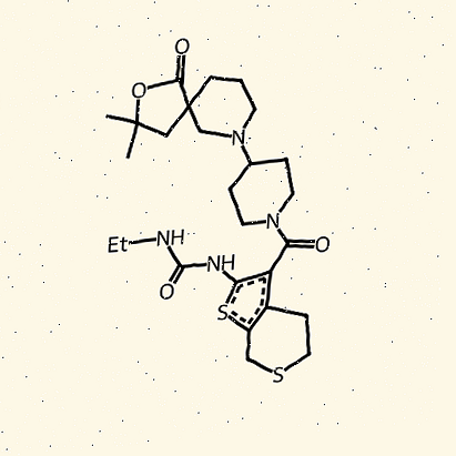 CCNC(=O)Nc1sc2c(c1C(=O)N1CCC(N3CCCC4(C3)CC(C)(C)OC4=O)CC1)CCSC2